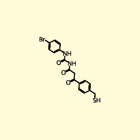 O=C(CC(=O)c1ccc(CS)cc1)NC(=O)Nc1ccc(Br)cc1